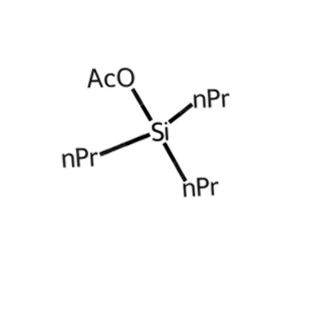 CCC[Si](CCC)(CCC)OC(C)=O